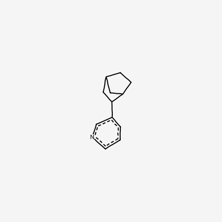 c1cncc(C2CC3CCC2C3)c1